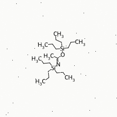 CCC[Si](CCC)(CCC)N=C(C)O[Si](CCC)(CCC)CCC